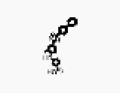 Cc1cc(-c2noc(-c3ccc(-c4ccccc4)cc3)n2)ccc1N[C@H]1CC[C@@H](C(=O)O)C1